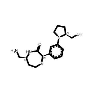 NC[C@@H]1CCS[C@H](c2cccc(N3CCC[C@H]3CO)c2)C(=O)N1